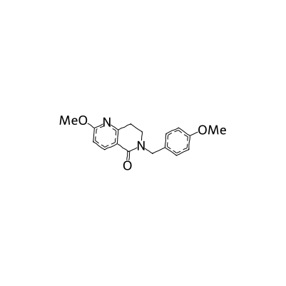 COc1ccc(CN2CCc3nc(OC)ccc3C2=O)cc1